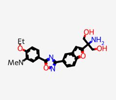 CCOc1ccc(-c2nc(-c3ccc4oc(C(N)(CO)CO)cc4c3)no2)cc1NC